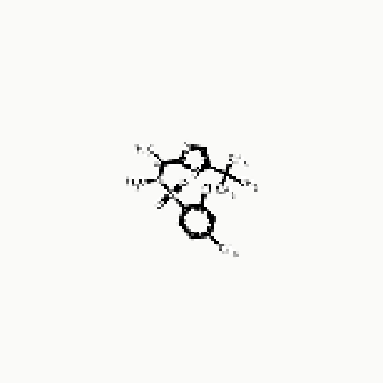 Cc1ccc(S(=O)(=O)N(C)[C@@H](C)c2ncc(C(C)(C)C)o2)c(Cl)c1